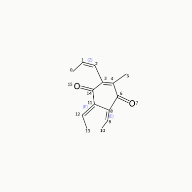 C/C=C\C1=C(C)C(=O)C(=C/C)/C(=C\C)C1=O